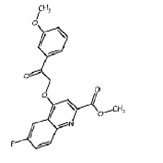 COC(=O)c1cc(OCC(=O)c2cccc(OC)c2)c2cc(F)ccc2n1